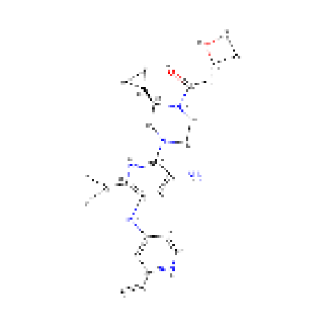 C=Cc1cc(Nc2cc(N)c(N3CCN(C(=O)C[C@H]4CCO4)[C@H](C4CC4)C3)nc2C2CC2)ccn1